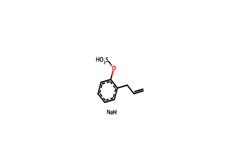 C=CCc1ccccc1OS(=O)(=O)O.[NaH]